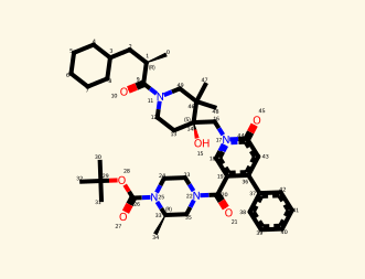 C[C@H](CC1CCCCC1)C(=O)N1CC[C@@](O)(Cn2cc(C(=O)N3CCN(C(=O)OC(C)(C)C)[C@H](C)C3)c(-c3ccccc3)cc2=O)C(C)(C)C1